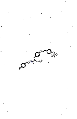 C/C(=N\OCc1ccc(F)cc1)C(Cc1ccc(OCCc2ccc(OS(C)(=O)=O)cc2)cc1)C(=O)O